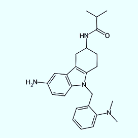 CC(C)C(=O)NC1CCc2c(c3cc(N)ccc3n2Cc2ccccc2N(C)C)C1